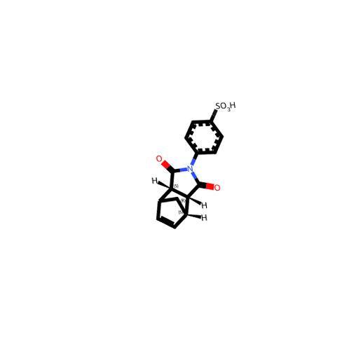 O=C1[C@@H]2[C@@H]3C=CC(C3)[C@@H]2C(=O)N1c1ccc(S(=O)(=O)O)cc1